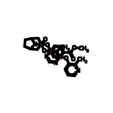 COC(=O)c1ccc(OC(=O)N2C3CCC2CC(Oc2ncnc(Oc4cccnc4C)c2C)C3)cc1